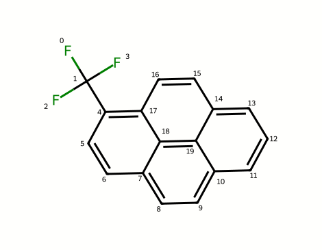 FC(F)(F)c1ccc2ccc3cccc4ccc1c2c34